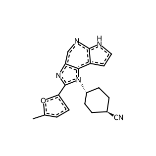 Cc1ccc(-c2nc3cnc4[nH]ccc4c3n2[C@H]2CC[C@H](C#N)CC2)o1